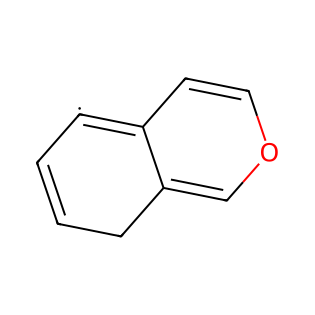 [C]1=C2C=COC=C2CC=C1